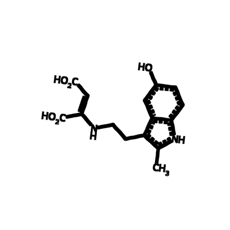 Cc1[nH]c2ccc(O)cc2c1CCNC(=CC(=O)O)C(=O)O